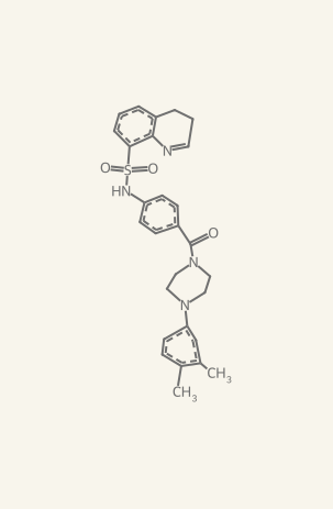 Cc1ccc(N2CCN(C(=O)c3ccc(NS(=O)(=O)c4cccc5c4N=CCC5)cc3)CC2)cc1C